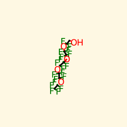 OCC(F)(F)OC(F)(F)C(F)(F)OC(F)(F)C(F)(F)OC(F)(F)C(F)(F)OC(F)(F)C(F)(F)F